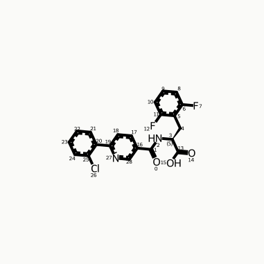 O=C(N[C@@H](Cc1c(F)cccc1F)C(=O)O)c1ccc(-c2ccccc2Cl)nc1